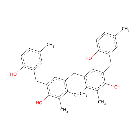 Cc1ccc(O)c(Cc2cc(Cc3cc(Cc4cc(C)ccc4O)c(O)c(C)c3C)c(C)c(C)c2O)c1